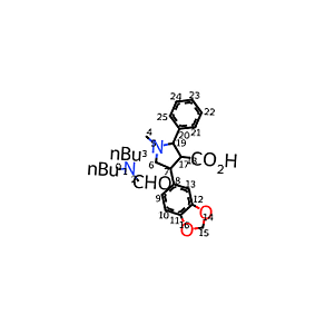 CCCCN(C=O)CCCC.CN1CC(c2ccc3c(c2)OCO3)C(C(=O)O)C1c1ccccc1